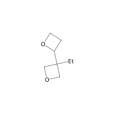 CCC1(C2CCO2)COC1